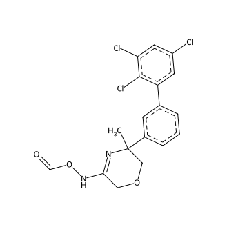 CC1(c2cccc(-c3cc(Cl)cc(Cl)c3Cl)c2)COCC(NOC=O)=N1